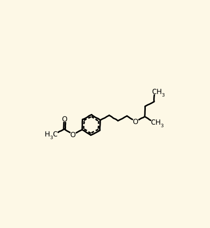 CCCC(C)OCCCc1ccc(OC(C)=O)cc1